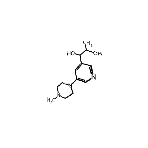 CC(O)C(O)c1cncc(N2CCN(C)CC2)c1